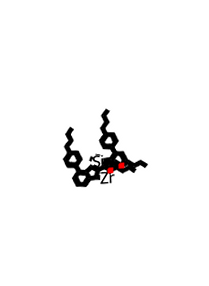 CCCCCCC1=C2c3c(-c4ccc(CCCC)cc4)cccc3[CH]1[Zr][CH]1C(CCCCCC)=C(c3c(-c4ccc(CCCC)cc4)cccc31)[Si]2(C)C